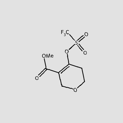 COC(=O)C1=C(OS(=O)(=O)C(F)(F)F)CCOC1